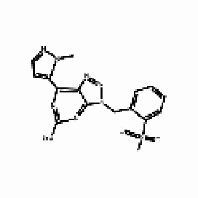 Cn1nccc1-c1nc(C(C)(C)C)nc2c1nnn2Cc1ccccc1S(C)(=O)=O